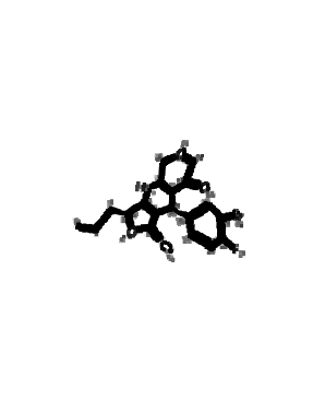 CCC[C@@H]1OC(=O)C2=C1NC1=C(C(=O)COC1)[C@H]2c1ccc(F)c(Br)c1